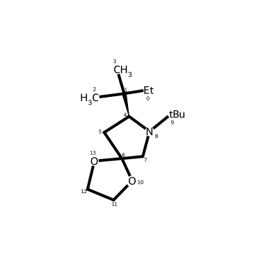 CCC(C)(C)[C@@H]1CC2(CN1C(C)(C)C)OCCO2